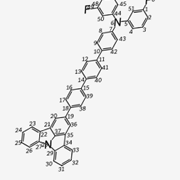 Fc1cccc(N(c2ccc(-c3ccc(-c4ccc(-c5cc6c7ccccc7n7c8ccccc8c(c5)c67)cc4)cc3)cc2)c2cccc(F)c2)c1